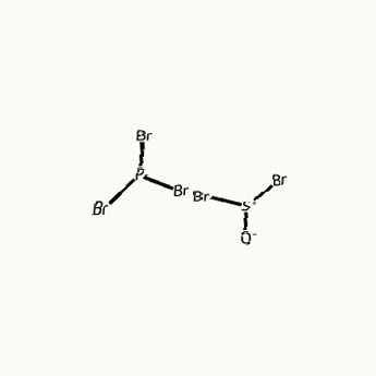 BrP(Br)Br.[O-][S+](Br)Br